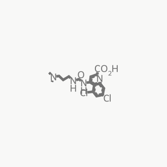 CN(C)CCCNC(=O)Nc1cc(C(=O)O)nc2cc(Cl)cc(Cl)c12